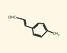 Cc1ccc(C=C[C]=O)cc1